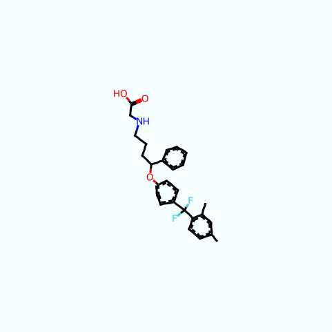 Cc1ccc(C(F)(F)c2ccc(OC(CCCNCC(=O)O)c3ccccc3)cc2)c(C)c1